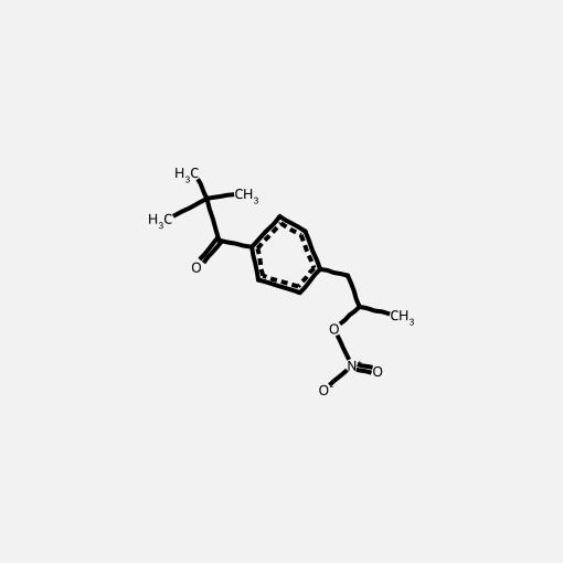 CC(Cc1ccc(C(=O)C(C)(C)C)cc1)O[N+](=O)[O-]